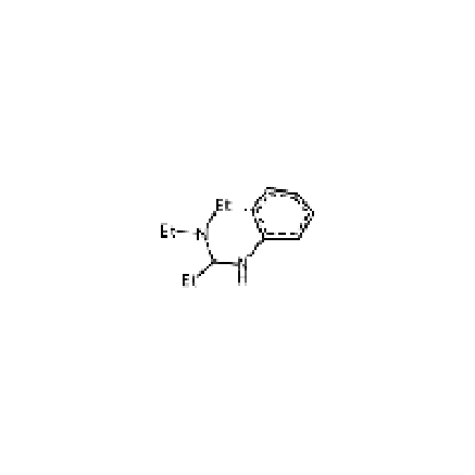 CCC(Nc1[c]cccc1)N(CC)CC